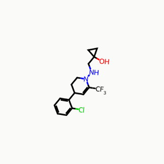 OC1(CNN2CCC(c3ccccc3Cl)C=C2C(F)(F)F)CC1